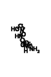 C=C(NS(=O)(=O)c1ccc(NC(=O)Cn2ccc3cccc(O)c32)cc1)S/C=C\N